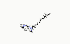 CCCCCCCCCCCCCCN(CC)CCCN(CC)CC